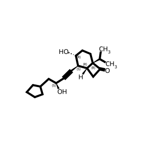 CC(C)[C@]12CC[C@@H](O)[C@H](C#C[C@@H](O)CC3CCCC3)[C@H]1CC2=O